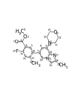 COC(=O)c1cc(-c2cc(N3CCOCC3)c3nc(C)cn3c2)c(C)cc1F